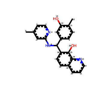 Cc1ccnc(NC(c2ccc(C)c(O)c2)c2ccc3cccnc3c2O)c1